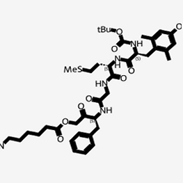 CSCC[C@H](NC(=O)[C@H](Cc1c(C)cc(O)cc1C)NC(=O)OC(C)(C)C)C(=O)NCC(=O)N[C@@H](Cc1ccccc1)C(=O)COC(=O)CCCCCN